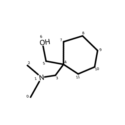 CN(C)CC1(CO)CCCCC1